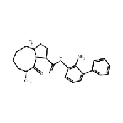 C[C@H]1CCCC[C@H]2CC[C@@H](C(=O)Nc3cccc(-c4ccccc4)c3N)N2C1=O